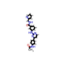 CC(=O)Nc1ccc(-c2ccnc(Nc3cccc(C(=O)NCc4ccccn4)c3)n2)cc1